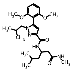 CNC(=O)CC(CC(C)C)NC(=O)c1cc(-c2c(OC)cccc2OC)n(CC(C)C)n1